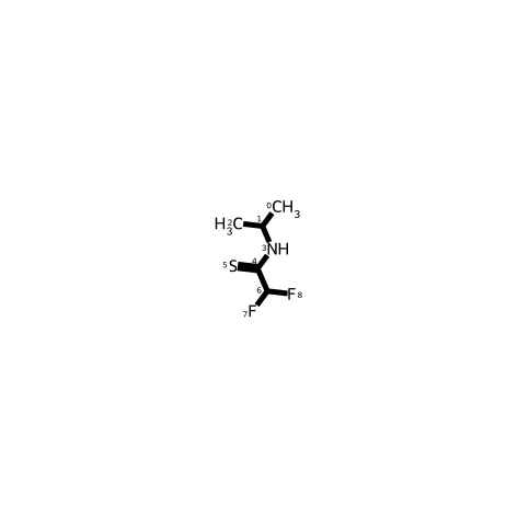 CC(C)NC(=S)C(F)F